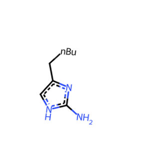 CCCCCc1c[nH]c(N)n1